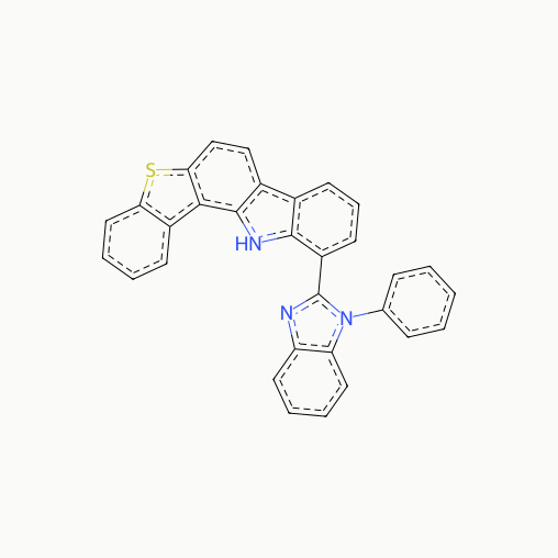 c1ccc(-n2c(-c3cccc4c3[nH]c3c4ccc4sc5ccccc5c43)nc3ccccc32)cc1